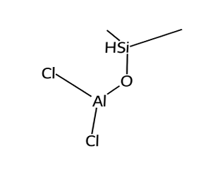 C[SiH](C)[O][Al]([Cl])[Cl]